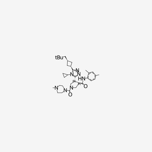 Cc1ccc(NC(=O)[C@H]2CN(C(=O)N3CCN(C)CC3)C[C@@H]2c2nnc([C@H]3C[C@@H](CC(C)(C)C)C3)n2C2CC2)c(C)c1